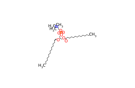 CCCCCCCCCCCCCC/C=C\OC(COC(=O)CCCCCCCCCCCCC)COP(=O)([O-])OCC[N+](C)(C)C